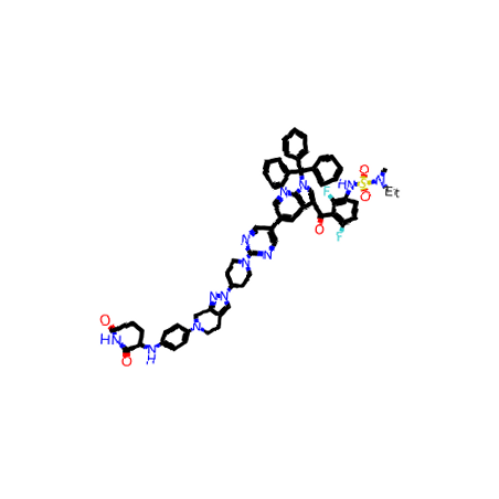 CCN(C)S(=O)(=O)Nc1ccc(F)c(C(=O)c2cn(C(c3ccccc3)(c3ccccc3)c3ccccc3)c3ncc(-c4cnc(N5CCC(n6cc7c(n6)CN(c6ccc(NC8CCC(=O)NC8=O)cc6)CC7)CC5)nc4)cc23)c1F